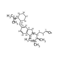 C=C(NC)C(CCC=O)N1Cc2cc(CC3CCCCC3N(C)C)ccc2C1C